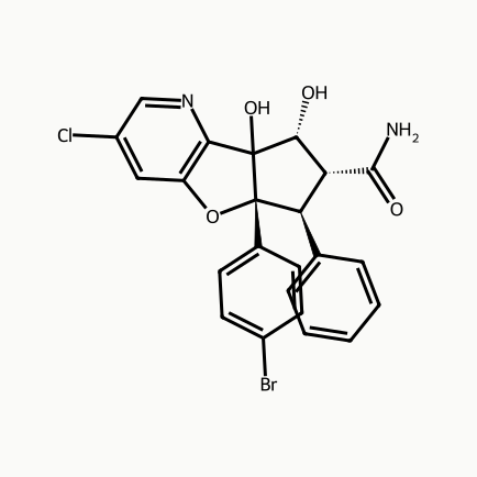 NC(=O)[C@H]1[C@@H](O)C2(O)c3ncc(Cl)cc3O[C@@]2(c2ccc(Br)cc2)[C@@H]1c1ccccc1